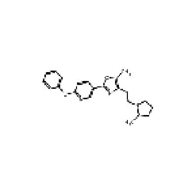 Cc1oc(-c2ccc(Oc3ccccc3)nc2)nc1CCN1CCCC1C